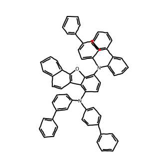 c1ccc(-c2ccc(N(c3ccccc3-c3ccccc3)c3ccc(N(c4ccc(-c5ccccc5)cc4)c4cccc(-c5ccccc5)c4)c4c3oc3c5ccccc5ccc34)cc2)cc1